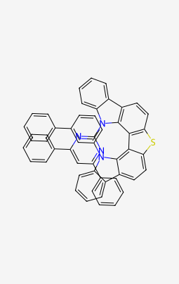 c1ccc(-c2cccc(-n3c4ccccc4c4ccc5sc6ccc7c8ccccc8n(-c8nc(-c9ccccc9)cc(-c9ccccc9)n8)c7c6c5c43)c2)cc1